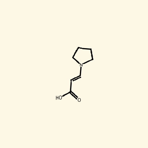 O=C(O)C=CN1CCCC1